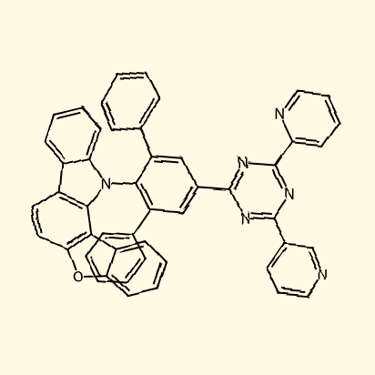 c1ccc(-c2cc(-c3nc(-c4cccnc4)nc(-c4ccccn4)n3)cc(-c3ccccc3)c2-n2c3ccccc3c3ccc4oc5ccccc5c4c32)cc1